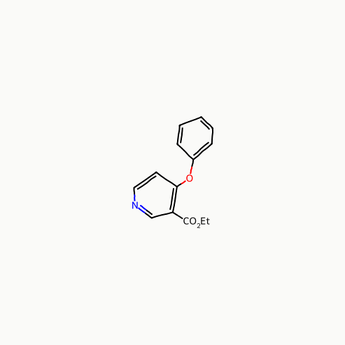 CCOC(=O)c1cnccc1Oc1ccccc1